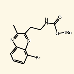 Cc1nc2cccc(Br)c2nc1CCNC(=O)OC(C)(C)C